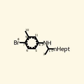 CCCCCCCC(C)Nc1ccc(Br)c(C)c1